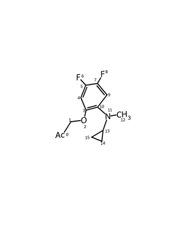 CC(=O)COc1cc(F)c(F)cc1N(C)C1CC1